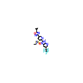 CC/N=[SH](=O)/c1cc(-c2noc(C3CC3)n2)cnc1-c1nc2cc(C(F)(F)C(F)(F)F)cnc2n1C